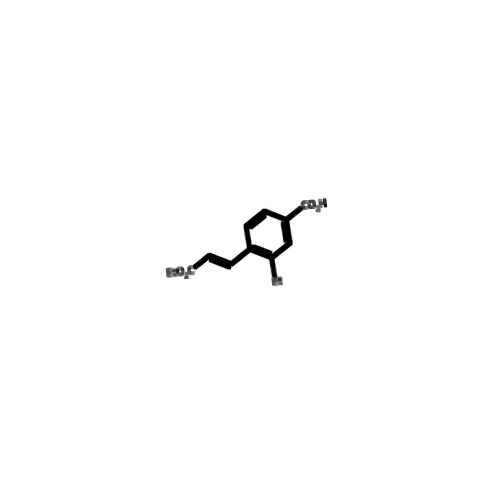 CCOC(=O)C=Cc1ccc(C(=O)O)cc1CC